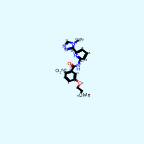 COCCOc1ccc([N+](=O)[O-])c(C(=O)Nc2cccc(-c3nncn3C(C)C)n2)c1